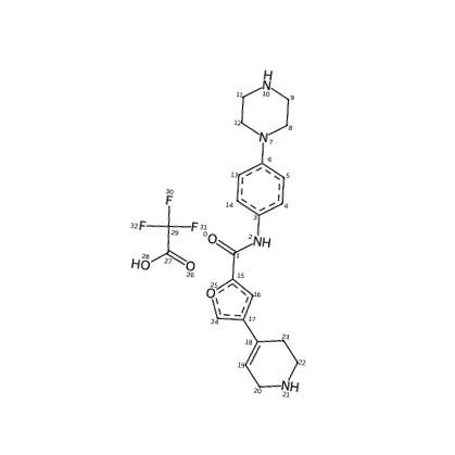 O=C(Nc1ccc(N2CCNCC2)cc1)c1cc(C2=CCNCC2)co1.O=C(O)C(F)(F)F